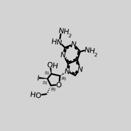 NNc1nc(N)c2ncn([C@@H]3O[C@H](CO)[C@@H](I)[C@H]3O)c2n1